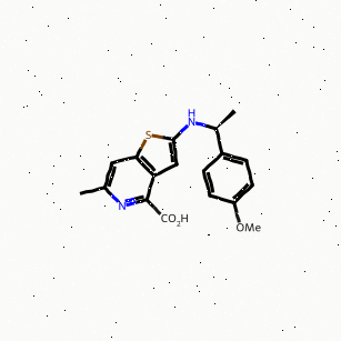 COc1ccc([C@H](C)Nc2cc3c(C(=O)O)nc(C)cc3s2)cc1